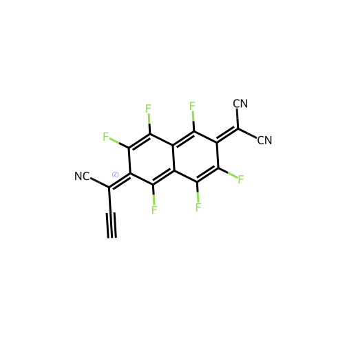 C#C/C(C#N)=c1/c(F)c(F)c2c(F)c(=C(C#N)C#N)c(F)c(F)c2c1F